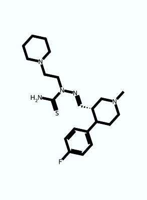 CN1CCC(c2ccc(F)cc2)[C@H](C=NN(CCN2CCCCC2)C(N)=S)C1